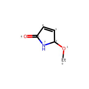 CCOC1C=CC(=O)N1